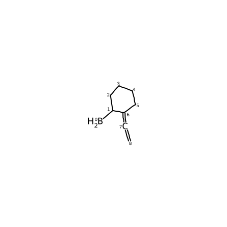 BC1CCCCC1=C=C